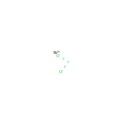 [Cl-].[Cl-].[F-].[F-].[F-].[Sb+5]